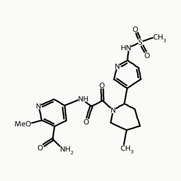 COc1ncc(NC(=O)C(=O)N2CC(C)CCC2c2ccc(NS(C)(=O)=O)nc2)cc1C(N)=O